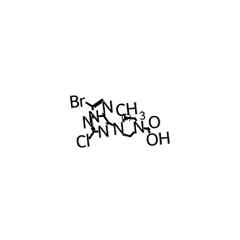 C[C@H]1CN(C(=O)O)CCN1c1nc(Cl)nn2c(Br)cnc12